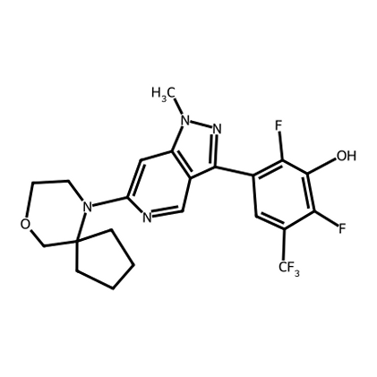 Cn1nc(-c2cc(C(F)(F)F)c(F)c(O)c2F)c2cnc(N3CCOCC34CCCC4)cc21